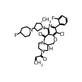 C=CC(=O)N1CCN2C(=O)c3c(N4CC(N5CCC(F)CC5)C[C@@H]4C)nc(-c4ccccc4F)c(Cl)c3OC[C@H]2C1